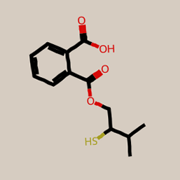 CC(C)C(S)COC(=O)c1ccccc1C(=O)O